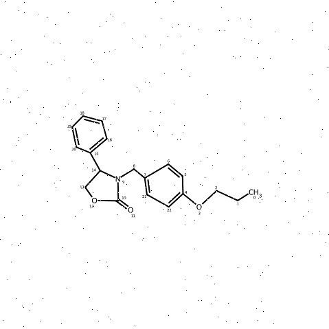 CCCOc1ccc(CN2C(=O)OCC2c2ccccc2)cc1